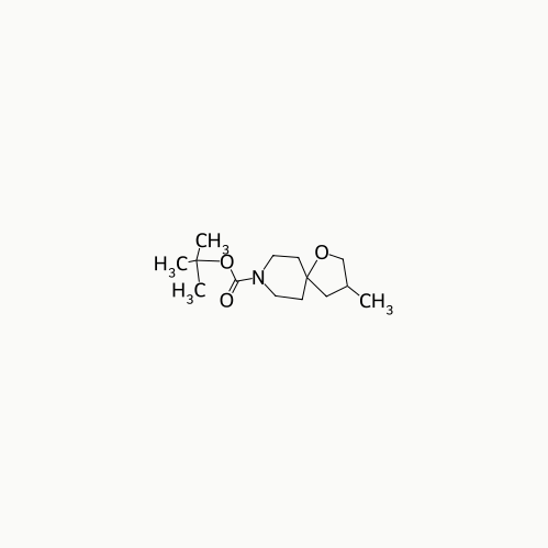 CC1COC2(CCN(C(=O)OC(C)(C)C)CC2)C1